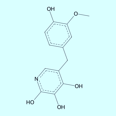 COc1cc(Cc2cnc(O)c(O)c2O)ccc1O